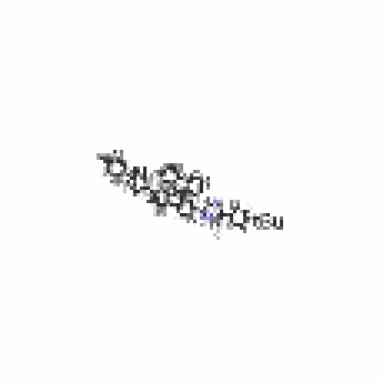 C=N/C=C(\C=N/Cc1ccc(C(C)(C)C)cc1)c1ccc2c(c1)C1(c3ccccc3-c3ccccc31)c1cc(-c3cnc(C4C=CC(C)CC4)nc3)ccc1-2